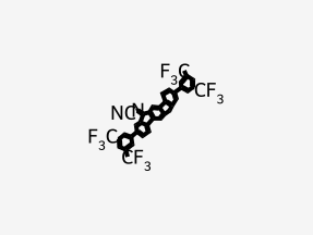 N#C/N=C1\c2cc(-c3cc(C(F)(F)F)cc(C(F)(F)F)c3)ccc2-c2cc3c(cc21)-c1ccc(-c2cc(C(F)(F)F)cc(C(F)(F)F)c2)cc1C3